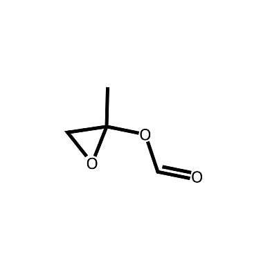 CC1(OC=O)CO1